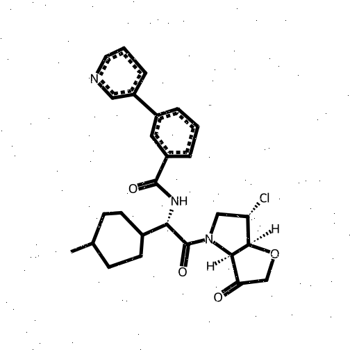 CC1CCC([C@H](NC(=O)c2cccc(-c3cccnc3)c2)C(=O)N2C[C@H](Cl)[C@H]3OCC(=O)[C@H]32)CC1